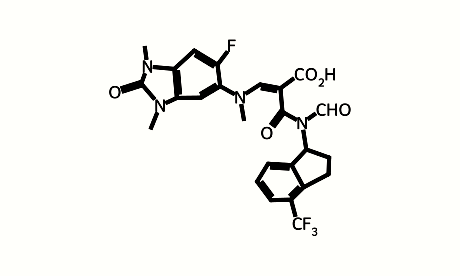 CN(/C=C(/C(=O)O)C(=O)N(C=O)C1CCc2c1cccc2C(F)(F)F)c1cc2c(cc1F)n(C)c(=O)n2C